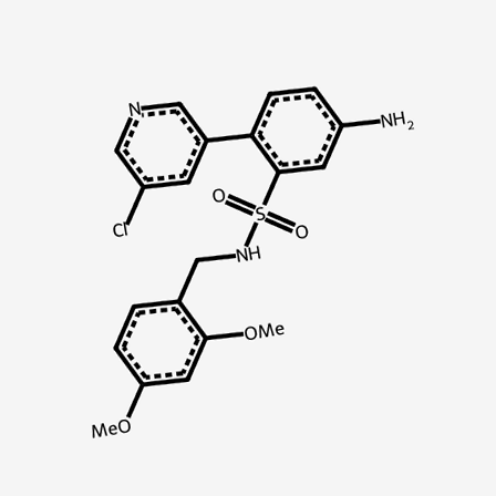 COc1ccc(CNS(=O)(=O)c2cc(N)ccc2-c2cncc(Cl)c2)c(OC)c1